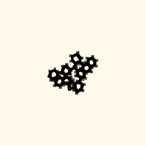 C1=CCC(c2ccc(N(C3=C(c4cccc5ccccc45)C=CCC3)c3cccc(-c4cccc5oc6c7ccccc7ccc6c45)c3)cc2)C=C1